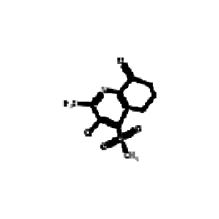 Cc1nc2c(c(S(C)(=O)=O)c1Cl)CCCC2=O